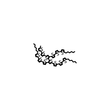 CCCCCCc1ccc(-c2ccc(-c3ccc(-c4cc(-c5ccc(-c6ccc(-c7ccc(CCCCCC)s7)s6)s5)c(-c5sc(-c6ccc(-c7ccc(C)s7)s6)cc5-c5ccc(-c6ccc(-c7ccc(CCCCCC)s7)s6)s5)s4)s3)s2)s1